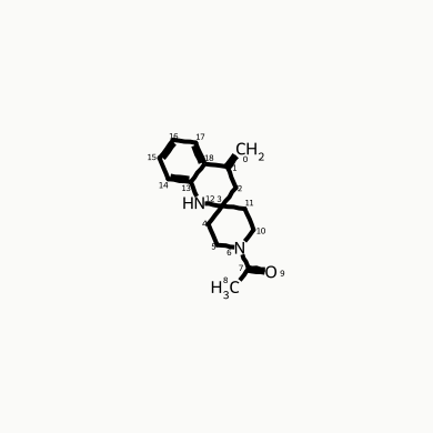 C=C1CC2(CCN(C(C)=O)CC2)Nc2ccccc21